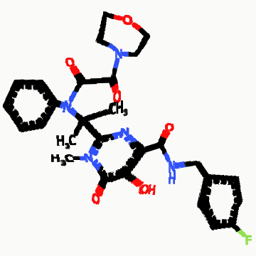 Cn1c(C(C)(C)N(C(=O)C(=O)N2CCOCC2)c2ccccc2)nc(C(=O)NCc2ccc(F)cc2)c(O)c1=O